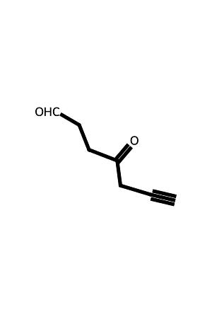 C#CCC(=O)CCC=O